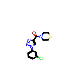 O=C(c1cn(-c2cccc(Cl)c2)nn1)N1CCSCC1